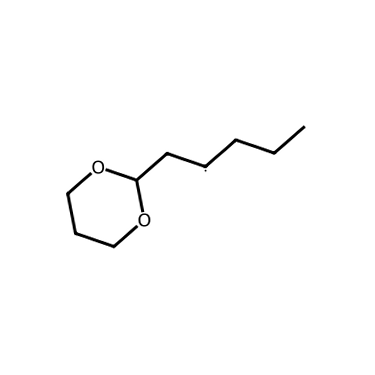 CCC[CH]CC1OCCCO1